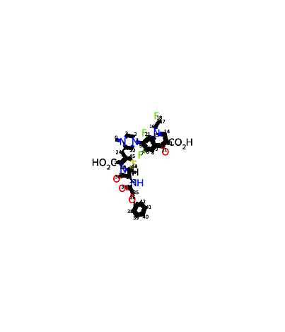 CN1CCN(c2c(F)cc3c(=O)c(C(=O)O)cn(CCF)c3c2F)C[C@H]1CC1=C(C(=O)O)N2C(=O)[C@H](NC(=O)COc3ccccc3)[C@@H]2SC1